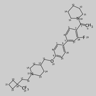 C=C(c1ccc(-c2ccc(OCC3CCN(CCC4(C(F)(F)F)CCC4)CC3)cc2)cc1F)N1CCCCC1